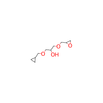 OC(COCC1CC1)COCC1CO1